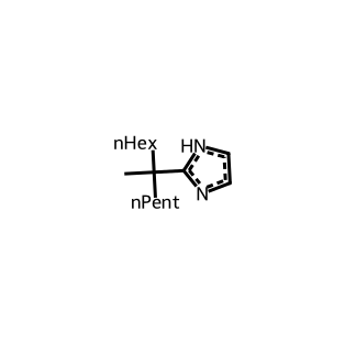 CCCCCCC(C)(CCCCC)c1ncc[nH]1